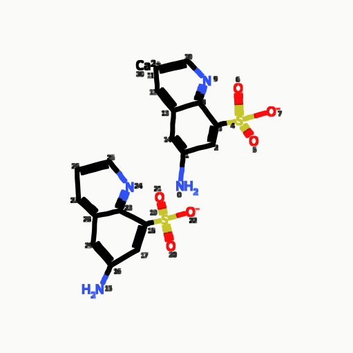 Nc1cc(S(=O)(=O)[O-])c2ncccc2c1.Nc1cc(S(=O)(=O)[O-])c2ncccc2c1.[Ca+2]